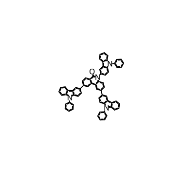 O=c1c2ccc(-c3ccc4c(c3)c3ccccc3n4-c3ccccc3)cc2c2cc(-c3ccc4c(c3)c3ccccc3n4-c3ccccc3)ccc2n1-c1ccc2c(c1)c1ccccc1n2-c1ccccc1